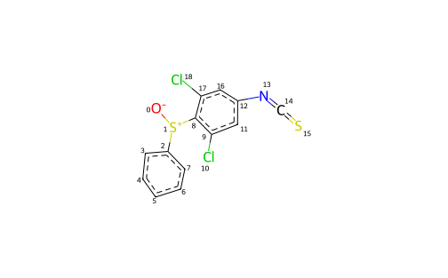 [O-][S+](c1ccccc1)c1c(Cl)cc(N=C=S)cc1Cl